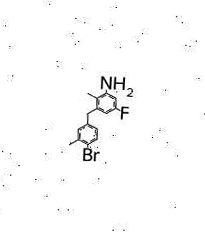 Cc1cc(Cc2cc(F)cc(N)c2C)ccc1Br